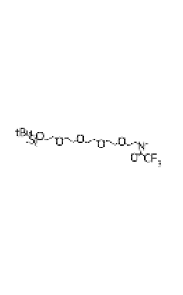 CN(CCOCCOCCOCCOCCO[Si](C)(C)C(C)(C)C)C(=O)C(F)(F)F